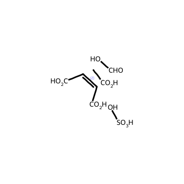 CC(=O)O.O=C(O)/C=C\C(=O)O.O=CO.O=S(=O)(O)O